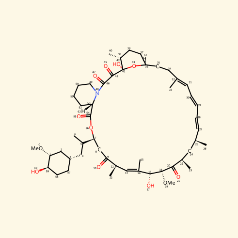 CO[C@@H]1C[C@H](CC(C)[C@@H]2CC(=O)[C@H](C)/C=C(\C)[C@@H](O)[C@@H](OC)C(=O)[C@H](C)C[C@H](C)/C=C/C=C/C=C(\C)CC[C@@H]3CC[C@@H](C)[C@@](O)(O3)C(=O)C(=O)N3CCCC[C@H]3C(=O)O2)CC[C@H]1O